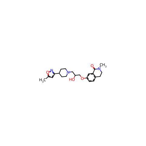 Cc1cc(C2CCN(CC(O)COc3ccc4c(c3)C(=O)N(C)CC4)CC2)no1